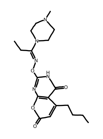 CCCCc1cc(=O)oc2nc(O/N=C(\CC)N3CCN(C)CC3)[nH]c(=O)c12